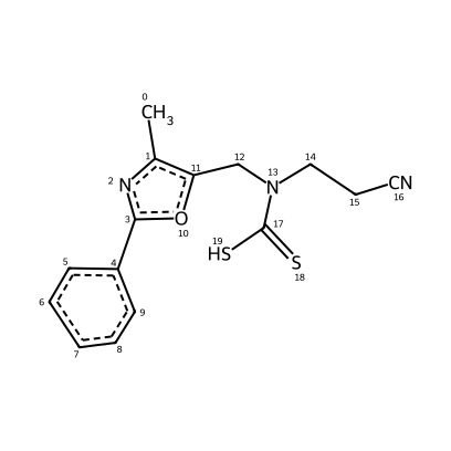 Cc1nc(-c2ccccc2)oc1CN(CCC#N)C(=S)S